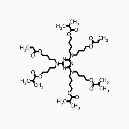 C=CC(=O)OCCCCN(CCCCOC(=O)C(=C)C)c1nc(N(CCCCOC(=O)C=C)CCCCOC(=O)C(=C)C)nc(N(CCCCOC(=O)C(=C)C)CCCCOC(=O)C(=C)C)n1